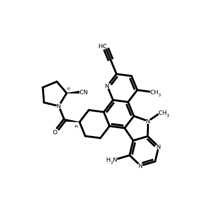 C#Cc1cc(C)c2c(n1)c1c(c3c4c(N)ncnc4n(C)c23)CC[C@@H](C(=O)N2CCC[C@H]2C#N)C1